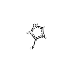 Fc1ncon1